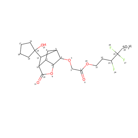 O=C(COC1C2CC3C1OC(=O)C3C2C1(O)CCCC1)OCCC(F)C(F)(F)S(=O)(=O)O